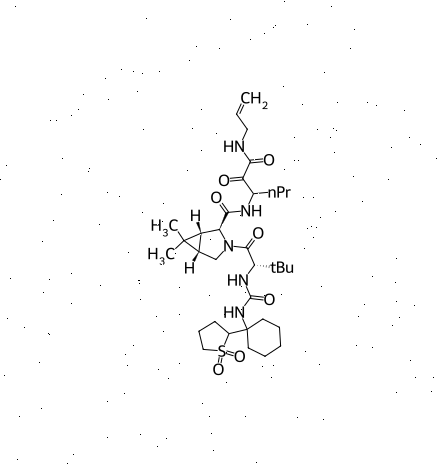 C=CCNC(=O)C(=O)C(CCC)NC(=O)[C@@H]1[C@@H]2[C@H](CN1C(=O)[C@@H](NC(=O)NC1(C3CCCS3(=O)=O)CCCCC1)C(C)(C)C)C2(C)C